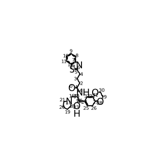 O=C(CCCc1nc2ccccc2s1)N[C@H](CN1CCCC1)[C@H](O)C1=CCC2OCCOC2=C1